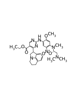 CCOC(=O)c1cnc(Nc2cc([N+](=O)[O-])c(N(C)CCN(C)C)cc2OC)nc1C1CN2CCCc3cccc1c32